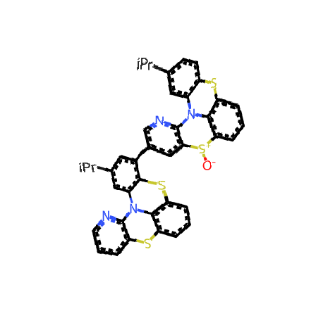 CC(C)c1ccc2c(c1)N1c3ncc(-c4cc(C(C)C)cc5c4Sc4cccc6c4N5c4ncccc4S6)cc3[S+]([O-])c3cccc(c31)S2